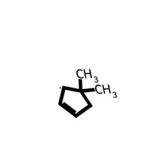 CC1(C)[CH]C=CC1